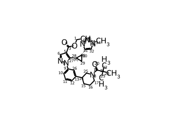 CCOC(=O)c1cnn(-c2cccc(C3CCCN(C(=O)C(C)(C)C)C3)c2)c1[C@@H]1C[C@H]1c1cn(C)nn1